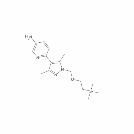 Cc1nn(COCC[Si](C)(C)C)c(C)c1-c1ccc(N)cn1